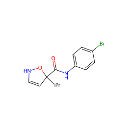 CC(C)C1(C(=O)Nc2ccc(Br)cc2)C=CNO1